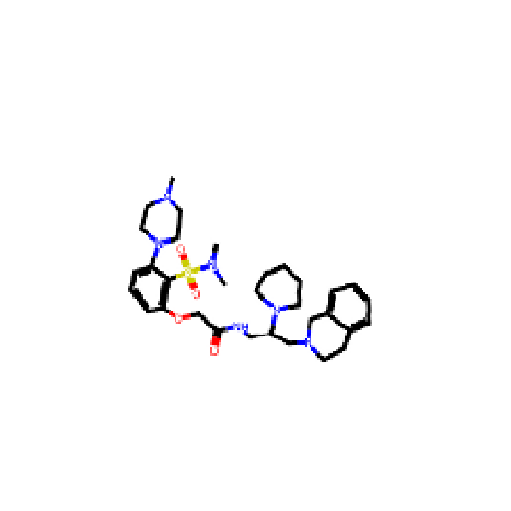 CN1CCN(c2cccc(OCC(=O)NC[C@H](CN3CCc4ccccc4C3)N3CCCCC3)c2S(=O)(=O)N(C)C)CC1